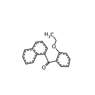 CCOc1ccccc1C(=O)c1cccc2ccccc12